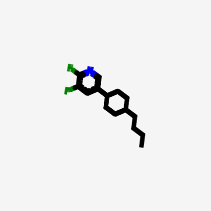 CCCCC1CCC(c2cnc(F)c(F)c2)CC1